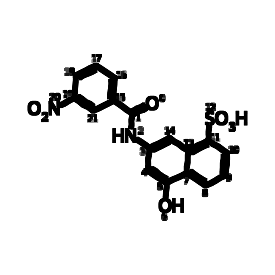 O=C(Nc1cc(O)c2cccc(S(=O)(=O)O)c2c1)c1cccc([N+](=O)[O-])c1